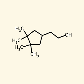 CC1(C)CC(CCO)CC1(C)C